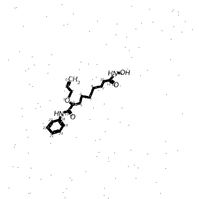 C=CCOC(CCCCCCC(=O)NO)C(=O)Nc1ccccc1